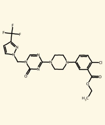 CCOC(=O)c1cc(N2CCN(c3ncn(Cn4ccc(C(F)(F)F)n4)c(=O)n3)CC2)ccc1Cl